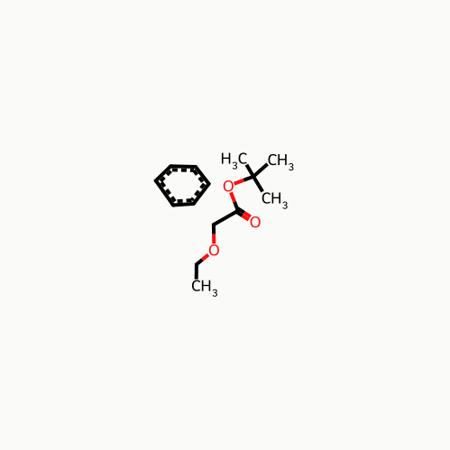 CCOCC(=O)OC(C)(C)C.c1ccccc1